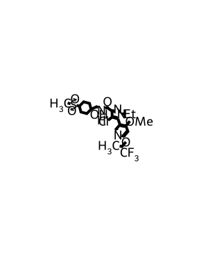 CCn1nc(C(=O)NCC2(O)CCC(S(C)(=O)=O)CC2)c(Cl)c1-c1cnc(O[C@H](C)C(F)(F)F)cc1OC